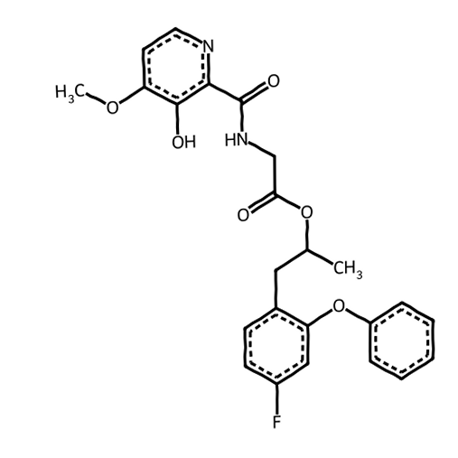 COc1ccnc(C(=O)NCC(=O)OC(C)Cc2ccc(F)cc2Oc2ccccc2)c1O